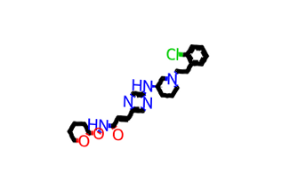 O=C(C=Cc1cnc(N[C@@H]2CCCN(CCc3ccccc3Cl)C2)cn1)NOC1CCCCO1